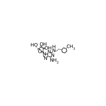 Cc1cccc(CCNc2nc(N)c3ncn([C@@H]4O[C@H](CO)[C@@H](O)[C@H]4O)c3n2)c1